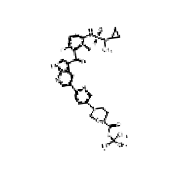 CN(C1CC1)S(=O)(=O)Nc1ccc(F)c(C(=O)c2c[nH]c3ncc(-c4ccc(N5CCN(C(=O)OC(C)(C)C)CC5)cn4)cc23)c1F